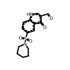 O=Cc1c[nH]c2ccc(S(=O)(=O)N3CCCCC3)cc2c1=O